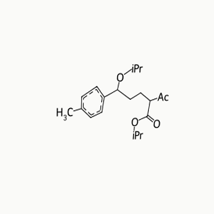 CC(=O)C(CCC(OC(C)C)c1ccc(C)cc1)C(=O)OC(C)C